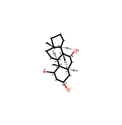 C[C@@]12CCC[C@H]1[C@@H]1[C@@H](O)C[C@H]3C[C@@H](O)CC(Br)[C@]3(C)[C@H]1CC2